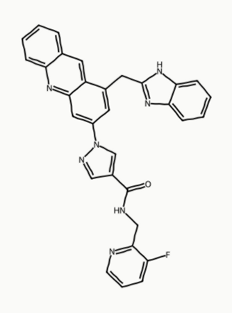 O=C(NCc1ncccc1F)c1cnn(-c2cc(Cc3nc4ccccc4[nH]3)c3cc4ccccc4nc3c2)c1